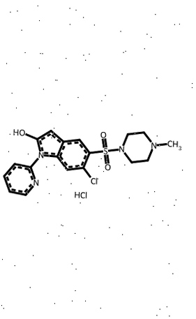 CN1CCN(S(=O)(=O)c2cc3cc(O)n(-c4ccccn4)c3cc2Cl)CC1.Cl